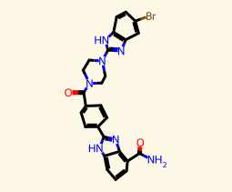 NC(=O)c1cccc2[nH]c(-c3ccc(C(=O)N4CCN(c5nc6cc(Br)ccc6[nH]5)CC4)cc3)nc12